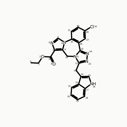 CCOC(=O)c1ncn2c1Cn1c(Cc3c[nH]c4ccccc34)nnc1-c1cc(Cl)ccc1-2